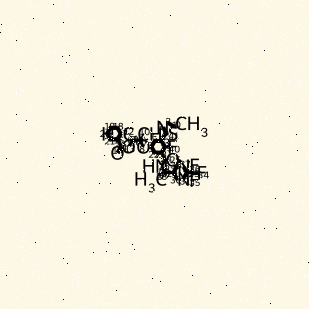 Cc1cnc(-c2cc(O[C@H](C)[C@@H](C)OC(=O)c3ccccc3)cc(C(=O)N[C@H](C)c3cnc(C(F)(F)F)nc3)c2F)s1